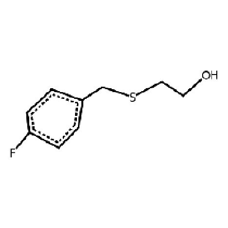 OCCSCc1ccc(F)cc1